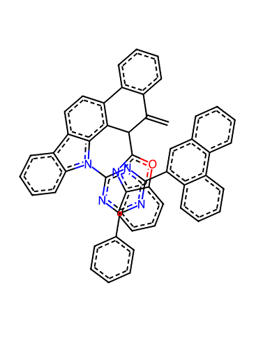 C=C1c2ccccc2-c2ccc3c4ccccc4n(-c4nc(-c5ccccc5)nc(-c5cc6ccccc6c6ccccc56)n4)c3c2C1c1nc2ccccc2o1